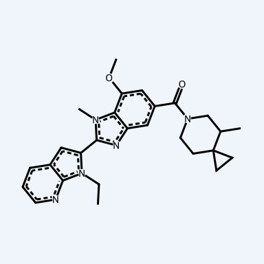 CCn1c(-c2nc3cc(C(=O)N4CCC5(CC5)C(C)C4)cc(OC)c3n2C)cc2cccnc21